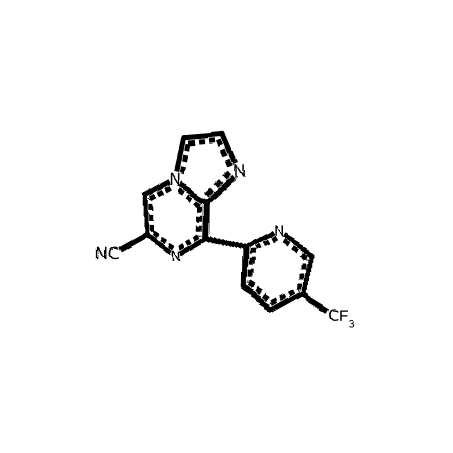 N#Cc1cn2ccnc2c(-c2ccc(C(F)(F)F)cn2)n1